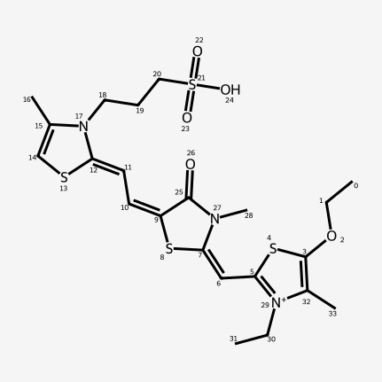 CCOc1sc(C=c2sc(=CC=C3SC=C(C)N3CCCS(=O)(=O)O)c(=O)n2C)[n+](CC)c1C